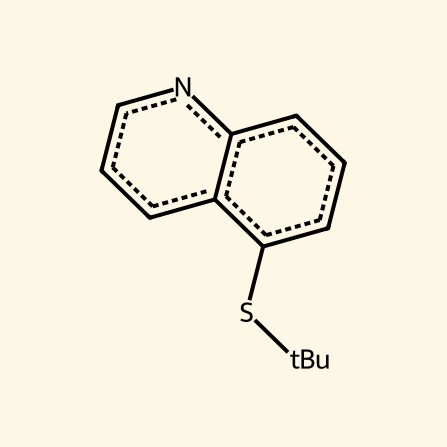 CC(C)(C)Sc1cccc2ncccc12